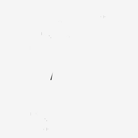 Cc1ccc(OC(=O)N(C)[C@H]2CC[C@H](c3ccc(CN(C)C)cc3)CC2)cc1.Cl